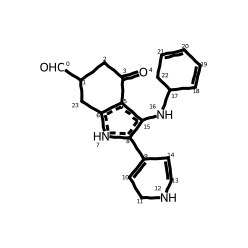 O=CC1CC(=O)c2c([nH]c(C3=CCNC=C3)c2NC2C=CC=CC2)C1